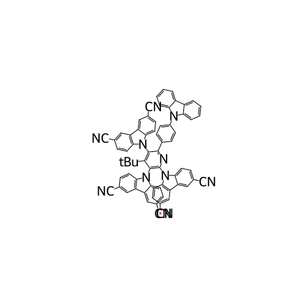 CC(C)(C)c1c(-n2c3ccc(C#N)cc3c3cc(C#N)ccc32)c(-c2ccc(-n3c4ccccc4c4ccccc43)cc2)nc(-n2c3ccc(C#N)cc3c3cc(C#N)ccc32)c1-n1c2ccc(C#N)cc2c2cc(C#N)ccc21